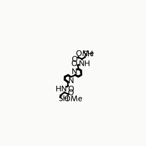 COC(=O)C(CS)NC(=O)c1cccc(-c2cccc(C(=O)NC(CS)C(=O)OC)n2)n1